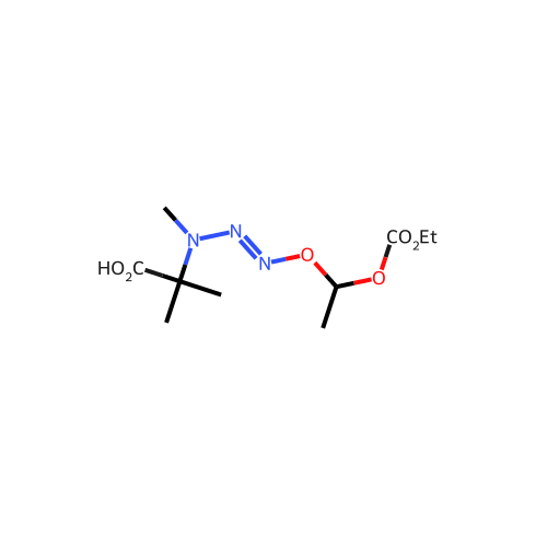 CCOC(=O)OC(C)ON=NN(C)C(C)(C)C(=O)O